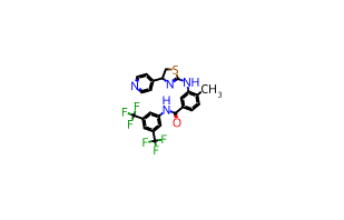 Cc1ccc(C(=O)Nc2cc(C(F)(F)F)cc(C(F)(F)F)c2)cc1NC1=NC(c2ccncc2)CS1